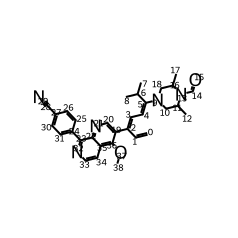 C=C/C(=C\C=C(/C(C)C)N1CC(C)N(C=O)C(C)C1)c1cnc2c(-c3ccc(C#N)cc3)nccc2c1OC